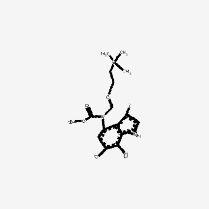 CC(C)(C)OC(=O)N(COCC[Si](C)(C)C)c1cc(Cl)c(Cl)c2[nH]cc(I)c12